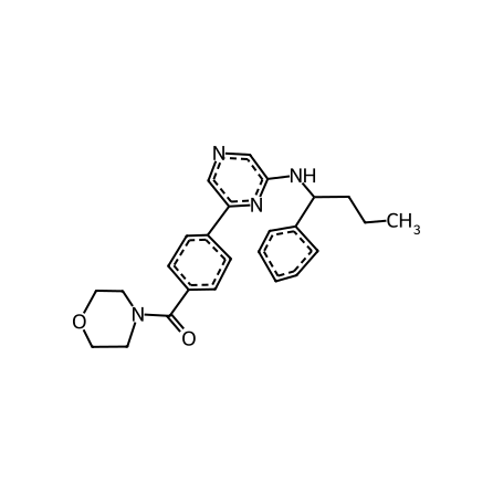 CCCC(Nc1cncc(-c2ccc(C(=O)N3CCOCC3)cc2)n1)c1ccccc1